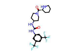 O=C(Nc1cc(C(F)(F)F)cc(C(F)(F)F)c1)NC1CCN(C(=O)[C@@H]2CCCCN2)CC1